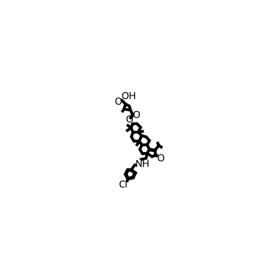 CC(C)C1=C2C3CCC4C(C)(CCC5C(C)(C)C(OC(=O)C6CC(C(=O)O)C6C)CCC54C)C3CCC2(CCNCc2ccc(Cl)cc2)CC1=O